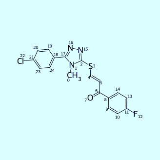 Cn1c(S/C=C/C(=O)c2ccc(F)cc2)nnc1-c1ccc(Cl)cc1